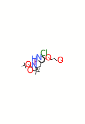 COCCCOc1cc(C[C@H](NC(=O)OC(C)(C)C)C(C)(C)C)c(I)nc1Cl